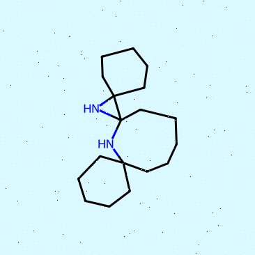 C1CCC2(CC1)CCCCCC1(N2)NC12CCCCC2